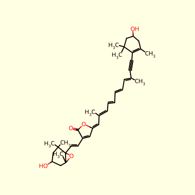 CC1=C(C#C/C(C)=C/C=C/C=C/C=C(C)/C=C2C=C(/C=C/C34OC3(C)CC(O)CC4(C)C)C(=O)O/2)C(C)(C)CC(O)C1